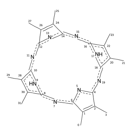 CC1=C(C)c2nc1nc1[nH]c(nc3nc(nc4[nH]c(n2)c(C)c4C)C(C)=C3C)c(C)c1C